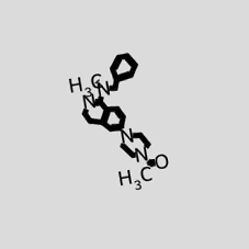 CC(=O)N1CCN(c2ccc3c(c2)CCN=C3N(C)Cc2ccccc2)CC1